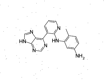 Cc1ccc(N)cc1Nc1ncccc1-c1ncnc2[nH]cnc12